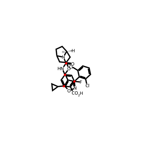 O=C(O)c1ccc(NC(=O)N2C3CC[C@H]2CC(OCc2c(-c4c(Cl)cccc4Cl)noc2C2CC2)C3)cc1F